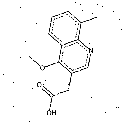 COc1c(CC(=O)O)cnc2c(C)cccc12